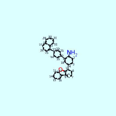 Nc1ccc(-c2cccc3c2oc2ccccc23)cc1-c1ccc(-c2cccc3ccccc23)cc1